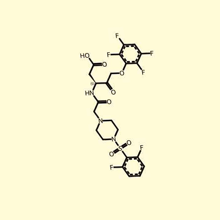 O=C(O)C[C@H](NC(=O)CN1CCN(S(=O)(=O)c2c(F)cccc2F)CC1)C(=O)COc1c(F)c(F)cc(F)c1F